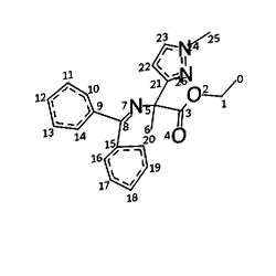 CCOC(=O)C(C)(N=C(c1ccccc1)c1ccccc1)c1ccn(C)n1